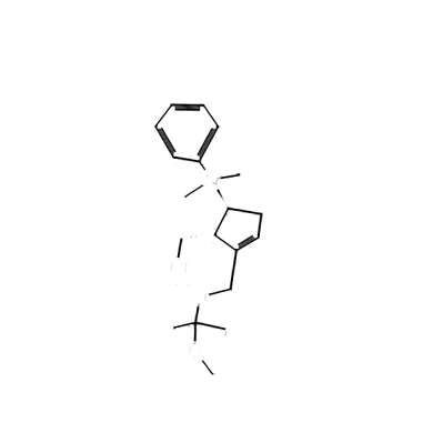 COC(C)(C)OCC1=CC[C@H]([Si](C)(C)c2ccccc2)[C@H]1CO